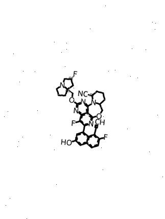 C#Cc1c(F)ccc2cc(O)cc(-c3nc4c5c(nc(OC[C@@]67CCCN6C[C@H](F)C7)nc5c3F)N3C(CCC[C@@H]3C#N)CO4)c12